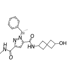 CNC(=O)c1cc(C(=O)NC2CC3(CC(O)C3)C2)n([C@@H](C)c2ccccc2)n1